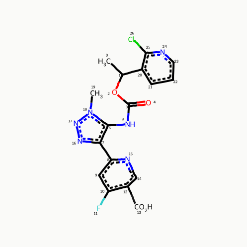 CC(OC(=O)Nc1c(-c2cc(F)c(C(=O)O)cn2)nnn1C)c1cccnc1Cl